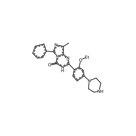 CCOc1cc(N2CCNCC2)ccc1-c1nc2c(C)nc(-c3ccccc3)n2c(=O)[nH]1